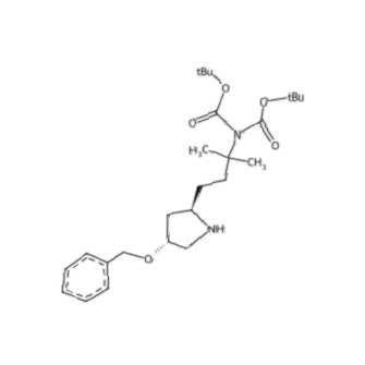 CC(C)(C)OC(=O)N(C(=O)OC(C)(C)C)C(C)(C)CC[C@@H]1C[C@@H](OCc2ccccc2)CN1